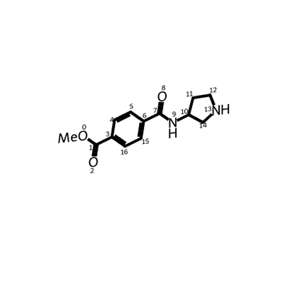 COC(=O)c1ccc(C(=O)NC2CCNC2)cc1